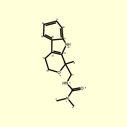 CN(C)C(=O)NCC1(C)OCCc2c1[nH]c1ccccc21